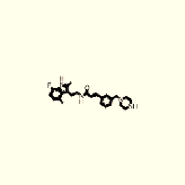 Cc1[nH]c2c(F)ccc(C)c2c1CCNC(=O)C=Cc1cccc(CN2CCNCC2)c1